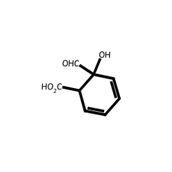 O=CC1(O)C=CC=CC1C(=O)O